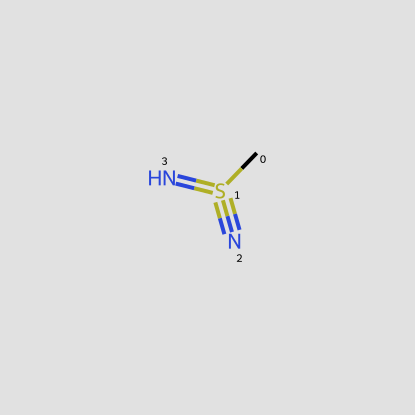 CS(#N)=N